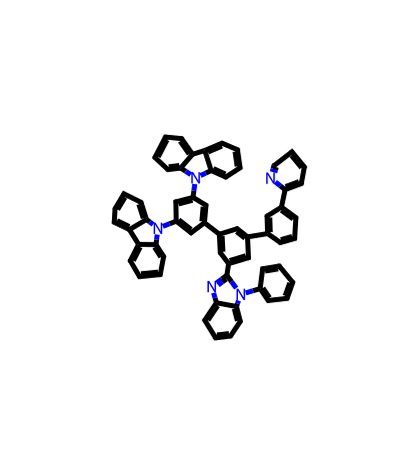 c1ccc(-n2c(-c3cc(-c4cccc(-c5ccccn5)c4)cc(-c4cc(-n5c6ccccc6c6ccccc65)cc(-n5c6ccccc6c6ccccc65)c4)c3)nc3ccccc32)cc1